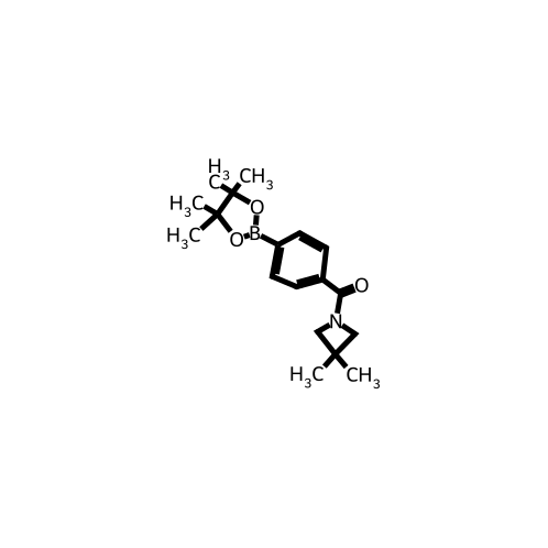 CC1(C)CN(C(=O)c2ccc(B3OC(C)(C)C(C)(C)O3)cc2)C1